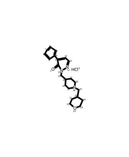 Cl.O=c1c(-c2ccccc2)ccnn1CC1CCN(CC2CCOCC2)CC1